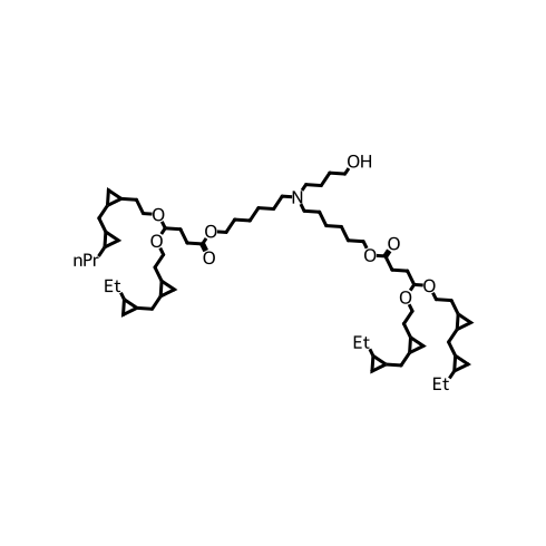 CCCC1CC1CC1CC1CCOC(CCC(=O)OCCCCCCN(CCCCO)CCCCCCOC(=O)CCC(OCCC1CC1CC1CC1CC)OCCC1CC1CC1CC1CC)OCCC1CC1CC1CC1CC